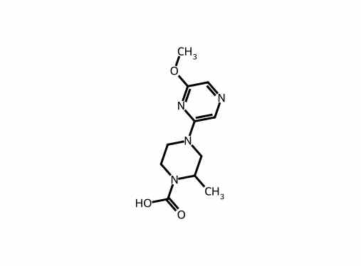 COc1cncc(N2CCN(C(=O)O)C(C)C2)n1